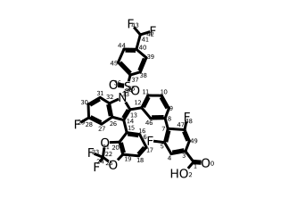 O=C(O)c1cc(F)c(-c2cccc(-c3c(-c4cccc5c4OC(F)(F)O5)c4cc(F)ccc4n3S(=O)(=O)c3ccc(C(F)F)cc3)c2)c(F)c1